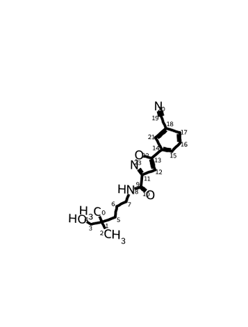 CC(C)(CO)CCCNC(=O)c1cc(-c2cccc(C#N)c2)on1